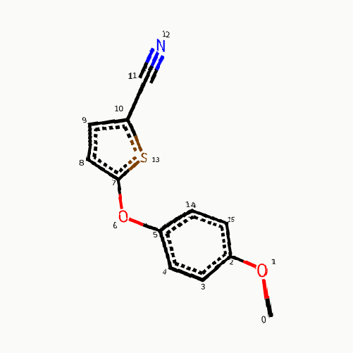 COc1ccc(Oc2ccc(C#N)s2)cc1